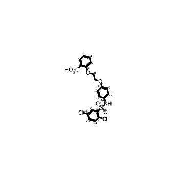 O=C(O)c1ccccc1OCCOc1ccc(NS(=O)(=O)c2cc(Cl)ccc2Cl)cc1